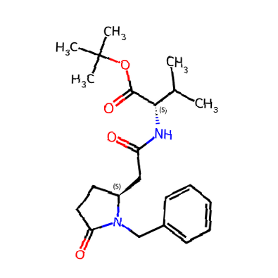 CC(C)[C@H](NC(=O)C[C@@H]1CCC(=O)N1Cc1ccccc1)C(=O)OC(C)(C)C